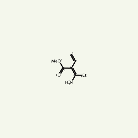 C=C/C(C(=O)OC)=C(/N)CC